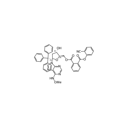 CONc1ncnc2c1ncn2[C@@]1(C(c2ccccc2)(c2ccccc2)c2ccccc2)C[C@H](O)[C@@H](COC(=O)c2ccccc2C(=O)Oc2ccccc2C#N)O1